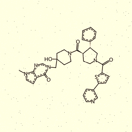 Cn1ccc2c(=O)n(CC3(O)CCN(C(=O)[C@@H]4CCN(C(=O)c5ccc(-c6cccnc6)s5)C[C@H]4c4ccccc4)CC3)cnc21